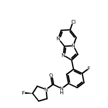 O=C(Nc1ccc(F)c(-c2cn3cc(Cl)cnc3n2)c1)N1CC[C@@H](F)C1